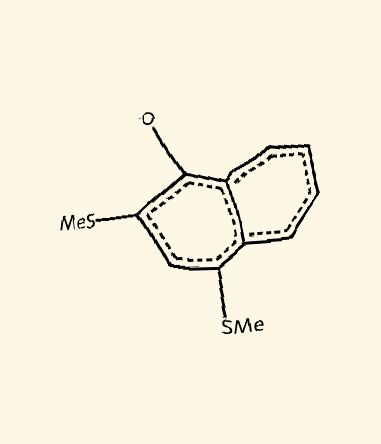 CSc1cc(SC)c2ccccc2c1[O]